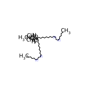 CCCCC/C=C\C/C=C\CCCCCCCCC1(CCCCCCCC/C=C\C/C=C\CCCCC)O[C@H]2C[C@H]([N+](C)(C)C)C[C@H]2O1